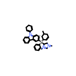 CC1CC=CC([Si](c2ccccc2)(c2ccc3c(c2)c2ccccc2n3C2=CCCC=C2)C2CN(C)CN2C)[C@@H]1C